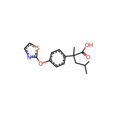 CC(C)CC(C)(C(=O)O)c1ccc(Oc2nccs2)cc1